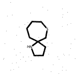 C1CCC2(CCCN2)CSC1